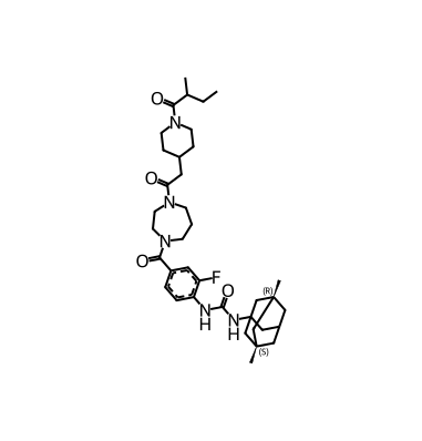 CCC(C)C(=O)N1CCC(CC(=O)N2CCCN(C(=O)c3ccc(NC(=O)NC45CC6C[C@@](C)(C4)C[C@](C)(C6)C5)c(F)c3)CC2)CC1